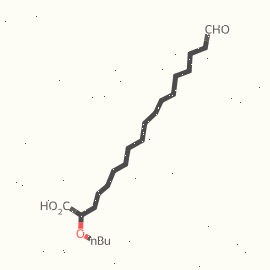 CCCCOC(CCCCCCCCCCCCCCCC=O)C(=O)O